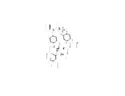 Cc1cncc(-n2c(=O)nc(Nc3cc4cn(C)nc4cc3Cl)n(Cc3cc(C#N)ccc3CF)c2=O)c1